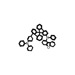 C1=CC(N(C2=CCC(c3cccc4c3-c3ccccc3C43c4ccccc4-c4ccc(N(C5=CCCc6oc7c(c65)C=CCC7)c5ccccc5)cc43)C=C2)c2ccccc2)=CCC1